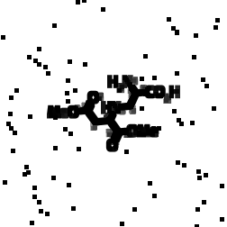 COC(=O)CC(NCC(N)C(=O)O)C(=O)OC